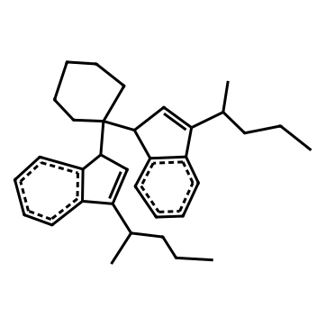 CCCC(C)C1=CC(C2(C3C=C(C(C)CCC)c4ccccc43)CCCCC2)c2ccccc21